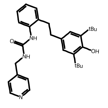 CC(C)(C)c1cc(CCc2ccccc2NC(=O)NCc2ccncc2)cc(C(C)(C)C)c1O